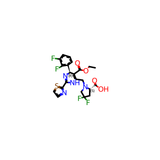 CCOC(=O)C1=C(CN2CC(F)(F)C[C@H]2C(=O)O)NC(c2nccs2)=N[C@H]1c1cccc(F)c1F